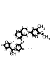 COc1ncc(N2CCc3ncnc(O[C@H]4CCN(C(O)c5ccoc5)C4)c3C2)cc1C